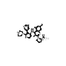 Cc1c(N2CCC[C@@H]2C(=O)O)nc2cc(F)cc(F)c2c1Nc1ccnc(N2CCOCC2)c1-c1cncnc1